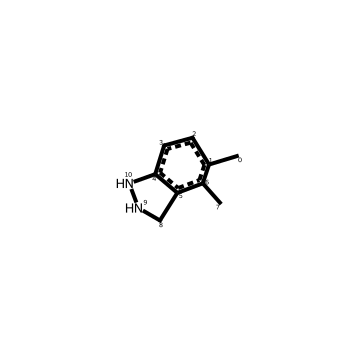 Cc1ccc2c(c1C)CNN2